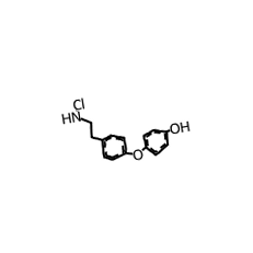 Oc1ccc(Oc2ccc(CCNCl)cc2)cc1